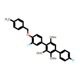 COc1cc(-c2ccc(F)cc2)c(OC)c(C=O)c1-c1ccc(OCc2ccc(C)cc2)c(F)c1